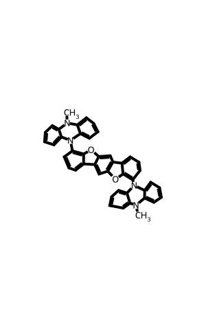 CN1c2ccccc2N(c2cccc3c2oc2cc4c(cc23)oc2c(N3c5ccccc5N(C)c5ccccc53)cccc24)c2ccccc21